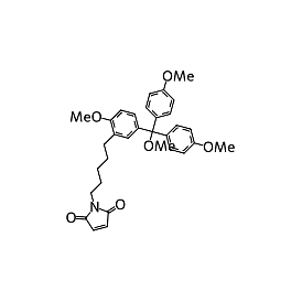 COc1ccc(C(OC)(c2ccc(OC)cc2)c2ccc(OC)c(CCCCCN3C(=O)C=CC3=O)c2)cc1